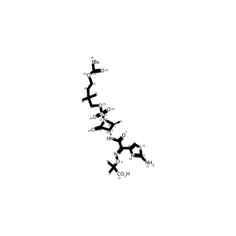 C[C@H]1[C@H](NC(=O)/C(=N/OC(C)(C)C(=O)O)c2csc(N)n2)C(=O)N1S(=O)(=O)OCC(C)(C)CCOC(=O)C(C)(C)C